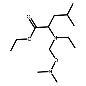 CCOC(=O)C(CC(C)C)N(CC)CON(C)C